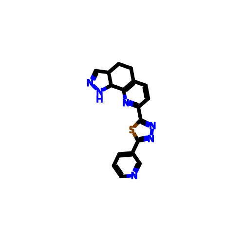 C1=NNC2c3nc(-c4nnc(-c5cccnc5)s4)ccc3CCC12